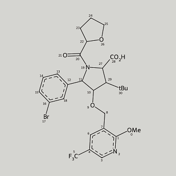 COc1ncc(C(F)(F)F)cc1COC1C(c2cccc(Br)c2)N(C(=O)C2CCCO2)C(C(=O)O)C1C(C)(C)C